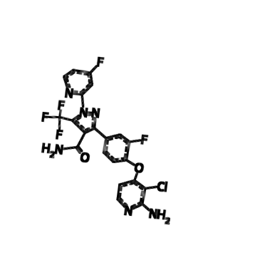 NC(=O)c1c(-c2ccc(Oc3ccnc(N)c3Cl)c(F)c2)nn(-c2cc(F)ccn2)c1C(F)(F)F